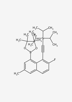 Cc1cc(B2OC(C)(C)C(C)(C)O2)c2c(C#C[Si](C(C)C)(C(C)C)C(C)C)c(F)ccc2c1